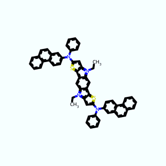 CCn1c2cc3c4sc(N(c5ccccc5)c5ccc6c(ccc7ccccc76)c5)cc4n(CC)c3cc2c2sc(N(c3ccccc3)c3ccc4c(ccc5ccccc54)c3)cc21